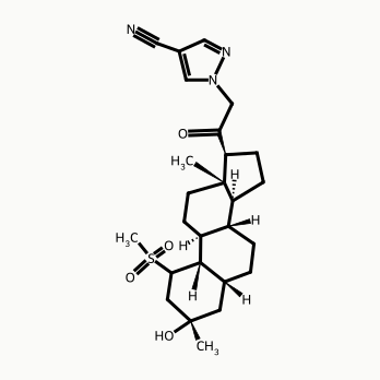 C[C@@]1(O)CC(S(C)(=O)=O)[C@H]2[C@H](CC[C@@H]3[C@@H]2CC[C@]2(C)[C@@H](C(=O)Cn4cc(C#N)cn4)CC[C@@H]32)C1